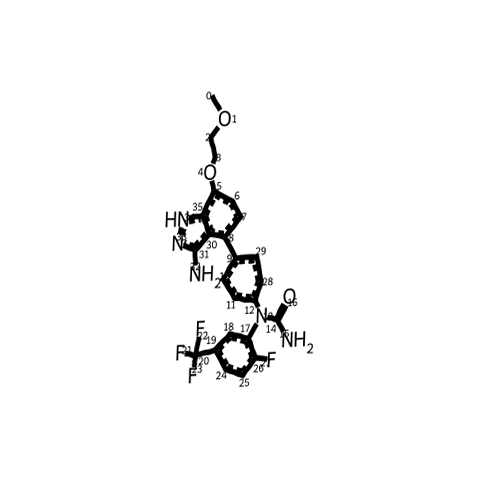 COCCOc1ccc(-c2ccc(N(C(N)=O)c3cc(C(F)(F)F)ccc3F)cc2)c2c(N)n[nH]c12